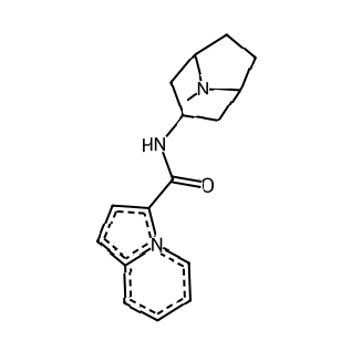 CN1C2CCC1CC(NC(=O)c1ccc3ccccn13)C2